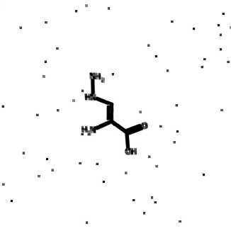 NN/C=C(\N)C(=O)O